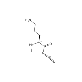 [N-]=[N+]=NC(=O)[C@H](CCCN)NF